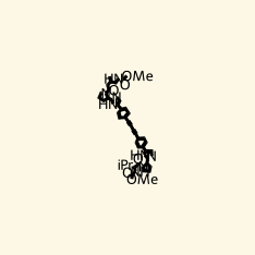 COC(=O)NCC(C)CC(=O)N1CCCC1c1ncc(-c2ccc(C#CC#Cc3ccc(-c4cnc(C5CCCN5C(=O)C(NC(=O)OC)C(C)C)[nH]4)cc3)cc2)[nH]1